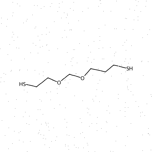 SCCCOCOCCS